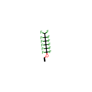 C=COC(F)(F)C(F)(F)C(F)(F)C(F)(F)C(F)(F)C(F)F